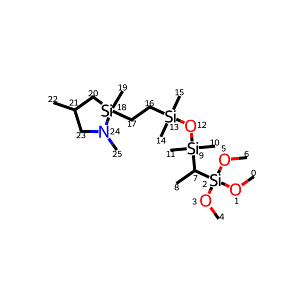 CO[Si](OC)(OC)C(C)[Si](C)(C)O[Si](C)(C)CC[Si]1(C)CC(C)CN1C